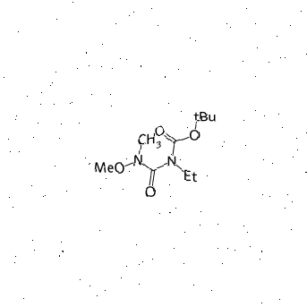 CCN(C(=O)OC(C)(C)C)C(=O)N(C)OC